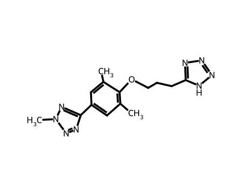 Cc1cc(-c2nnn(C)n2)cc(C)c1OCCCc1nnn[nH]1